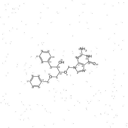 Nc1nc2c(ncn2COC(COCc2ccccc2)C(O)Cc2ccccc2)c(=O)[nH]1